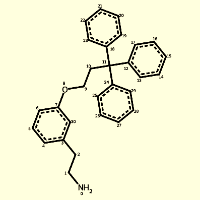 NCCc1cccc(OCCC(c2ccccc2)(c2ccccc2)c2ccccc2)c1